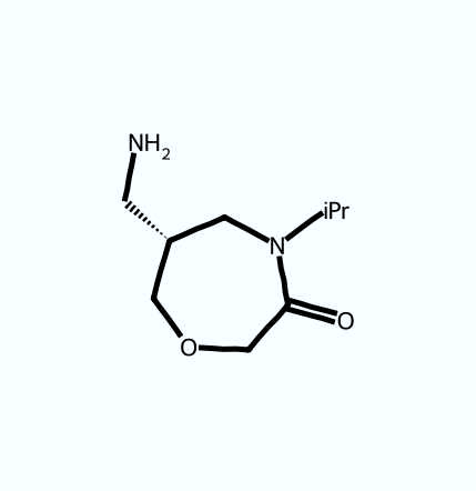 CC(C)N1C[C@@H](CN)COCC1=O